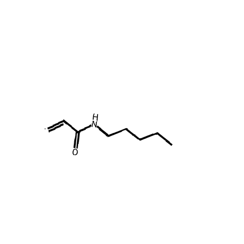 [CH]=CC(=O)NCCCCC